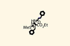 CCOC(=O)c1c(NC(=O)/C=C/c2ccccc2)nc(SC)n1Cc1ccccc1